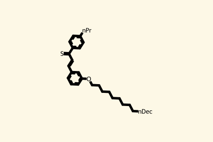 CCCCCCCCCCCCCCCCCCCOc1cccc(C=CC(=S)c2ccc(CCC)cc2)c1